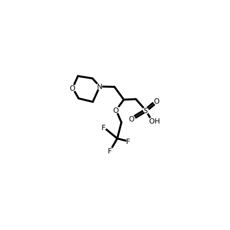 O=S(=O)(O)CC(CN1CCOCC1)OCC(F)(F)F